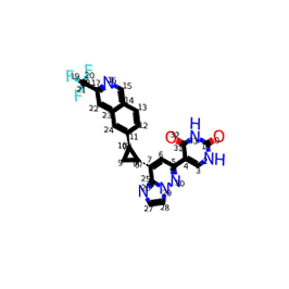 O=c1[nH]cc(-c2cc([C@@H]3C[C@H]3c3ccc4cnc(C(F)(F)F)cc4c3)c3nccn3n2)c(=O)[nH]1